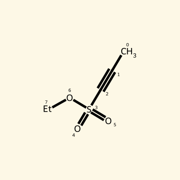 CC#CS(=O)(=O)OCC